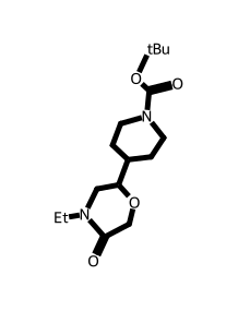 CCN1CC(C2CCN(C(=O)OC(C)(C)C)CC2)OCC1=O